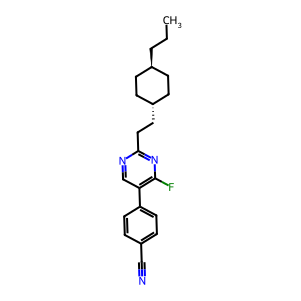 CCC[C@H]1CC[C@H](CCc2ncc(-c3ccc(C#N)cc3)c(F)n2)CC1